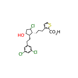 O=C(O)c1sccc1CCC[C@@H]1[C@@H](CCc2cc(Cl)cc(Cl)c2)[C@H](O)C[C@H]1Cl